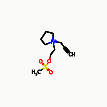 C#CC[N+]1(CCOS(C)(=O)=O)CCCC1